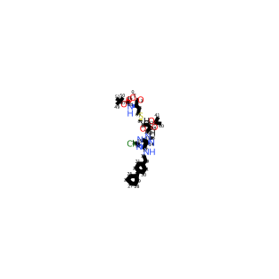 COC(=O)C(CCSC[C@H]1O[C@@H](n2cnc3c(NCCc4ccc(-c5ccccc5)cc4)nc(Cl)nc32)[C@@H]2OC(C)(C)O[C@H]21)NC(=O)OC(C)(C)C